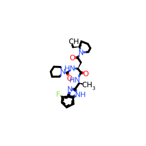 CC[C@H]1CCCCN1C(=O)C[C@H](NC(=O)N1CCCCC1)C(=O)N[C@@H](C)c1nc2c(F)cccc2[nH]1